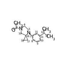 CC(=O)N1CCN(c2cccc(C(C)C)c2)C2(CC2)C1